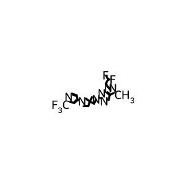 Cc1nn(CC(F)F)c2nc(N3CC4(CCN(c5ccnc(C(F)(F)F)c5)C4)C3)ncc12